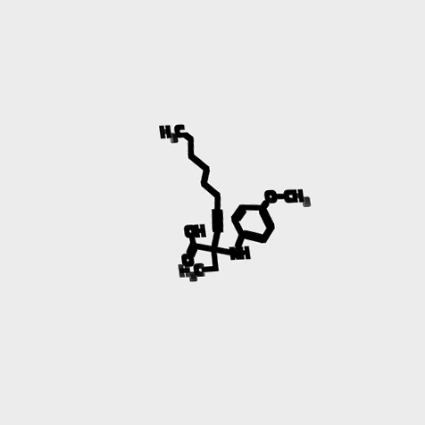 CCCCCCC#CC(CC)(Nc1ccc(OC)cc1)C(=O)O